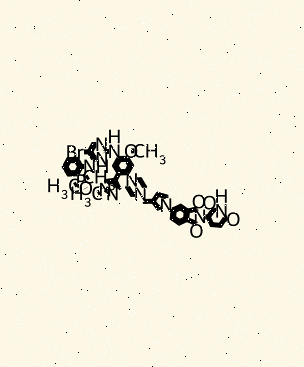 COc1cc(N2CCN(CC3CCN(c4ccc5c(c4)C(=O)N(C4CCC(=O)NC4=O)C5=O)C3)CC2)c(-c2cnn(C)c2)cc1Nc1ncc(Br)c(Nc2ccccc2P(C)(C)=O)n1